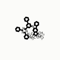 CC1(C)c2cc3c4ccccc4n(-c4cc(-c5ccccc5)cc(-c5nc(-c6ccccc6)nc(-c6ccccc6)n5)c4)c3cc2C(C)(C)C1(C)C